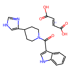 O=C(O)/C=C/C(=O)O.O=C(c1c[nH]c2ccccc12)N1CCC(c2c[nH]cn2)CC1